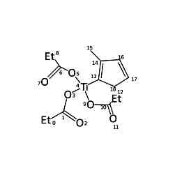 CCC(=O)[O][Ti]([O]C(=O)CC)([O]C(=O)CC)[C]1=C(C)C=CC1